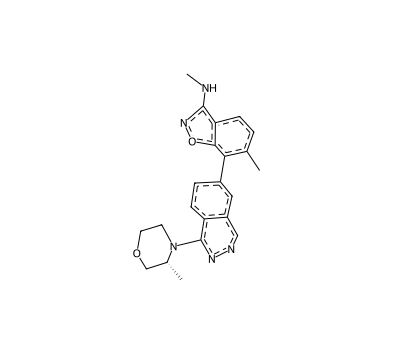 CNc1noc2c(-c3ccc4c(N5CCOC[C@H]5C)nncc4c3)c(C)ccc12